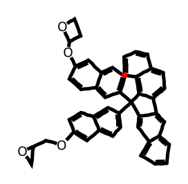 c1ccc2cc3c(cc2c1)-c1ccc2ccccc2c1C3(c1ccc2cc(OCC3CO3)ccc2c1)c1ccc2cc(OC3CCO3)ccc2c1